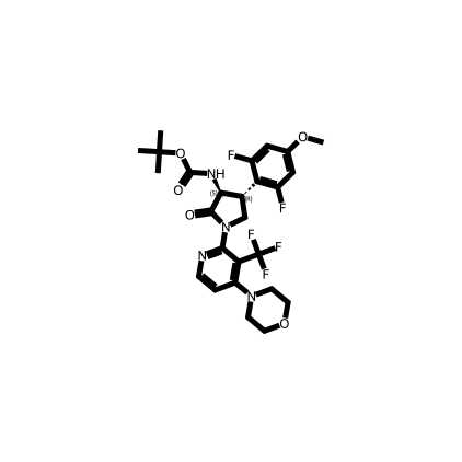 COc1cc(F)c([C@@H]2CN(c3nccc(N4CCOCC4)c3C(F)(F)F)C(=O)[C@H]2NC(=O)OC(C)(C)C)c(F)c1